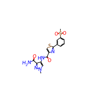 Cn1cc(NC(=O)c2csc(-c3cccc(S(C)(=O)=O)c3)n2)c(C(N)=O)n1